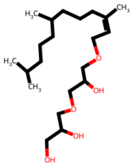 CC(=CCOCC(O)COCC(O)CO)CCCC(C)CCCC(C)C